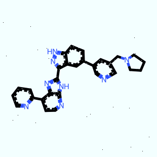 c1ccc(-c2ccnc3[nH]c(-c4n[nH]c5ccc(-c6cncc(CN7CCCC7)c6)cc45)nc23)nc1